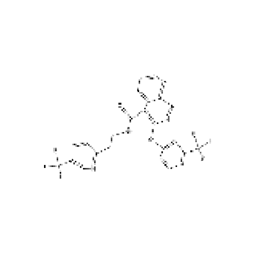 O=C(NCCc1ccc(C(F)(F)F)cn1)c1c(Oc2cccc(C(F)(F)F)c2)nnc2ccccc12